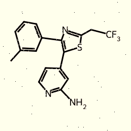 Cc1cccc(-c2nc(CC(F)(F)F)sc2-c2ccnc(N)c2)c1